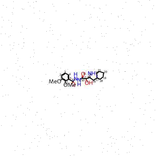 COc1cccc(C(=O)NNC(=O)C(O)[C@H](N)CC2CCCCC2)c1OC